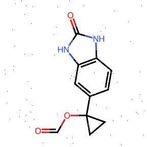 O=COC1(c2ccc3[nH]c(=O)[nH]c3c2)CC1